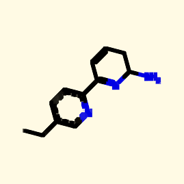 CCc1ccc(C2=NC(N)CC=C2)nc1